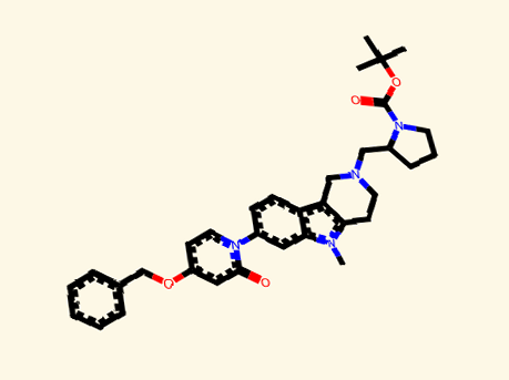 Cn1c2c(c3ccc(-n4ccc(OCc5ccccc5)cc4=O)cc31)CN(CC1CCCN1C(=O)OC(C)(C)C)CC2